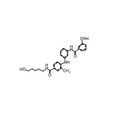 COc1cccc(C(=O)Nc2cccc(Nc3ccc(C(=O)NCCCCCO)cc3C)c2)c1